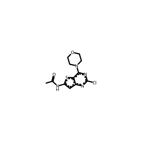 CC(=O)Nc1cc2nc(Cl)nc(N3CCOCC3)c2s1